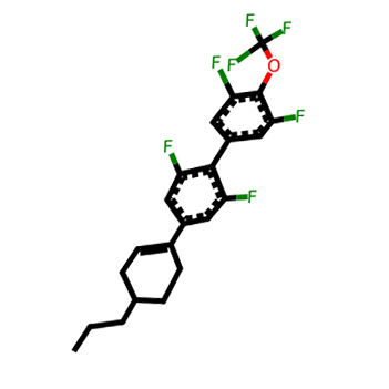 CCCC1CC=C(c2cc(F)c(-c3cc(F)c(OC(F)(F)F)c(F)c3)c(F)c2)CC1